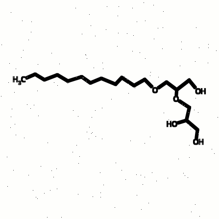 CCCCCCCCCCCCOCC(CO)OCC(O)CO